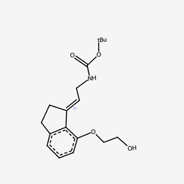 CC(C)(C)OC(=O)NC/C=C1\CCc2cccc(OCCO)c21